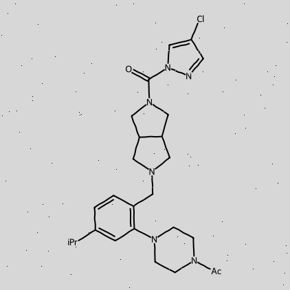 CC(=O)N1CCN(c2cc(C(C)C)ccc2CN2CC3CN(C(=O)n4cc(Cl)cn4)CC3C2)CC1